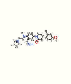 COc1ccc(-c2ccn(-c3ccc(N(C)CCN4CCCC4)c(C=N)c3)c(=O)c2)c(C)c1